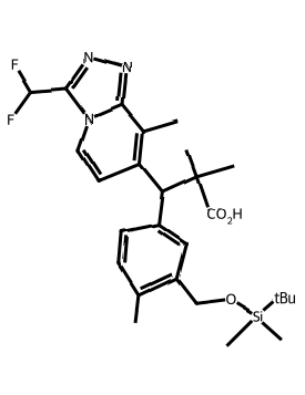 Cc1ccc(C(c2ccn3c(C(F)F)nnc3c2C)C(C)(C)C(=O)O)cc1CO[Si](C)(C)C(C)(C)C